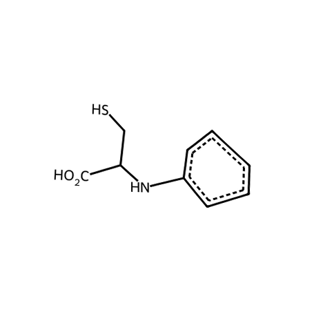 O=C(O)C(CS)Nc1ccccc1